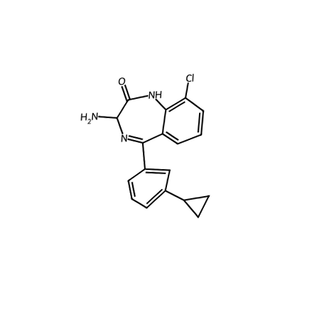 NC1N=C(c2cccc(C3CC3)c2)c2cccc(Cl)c2NC1=O